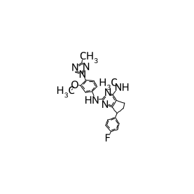 CNc1nc(Nc2ccc(-n3cnc(C)n3)c(OC)c2)nc2c1CCC2c1ccc(F)cc1